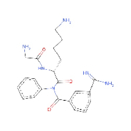 N=C(N)c1cccc(C(=O)N(C(=O)[C@@H](CCCCN)NC(=O)CN)c2ccccc2)c1